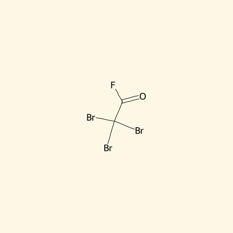 O=C(F)C(Br)(Br)Br